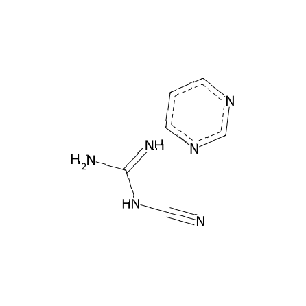 N#CNC(=N)N.c1cncnc1